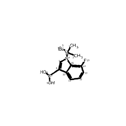 CC(C)(C)[Si](C)(C)n1cc(B(O)O)c2cccc(F)c21